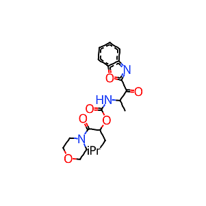 CC(C)CC(OC(=O)NC(C)C(=O)c1nc2ccccc2o1)C(=O)N1CCOCC1